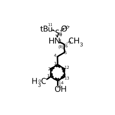 Cc1cc(CC[C@@H](C)N[S@+]([O-])C(C)(C)C)ccc1O